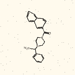 CC(c1ccccc1)N1CCN(C(=O)c2ccc3ccccc3c2)CC1